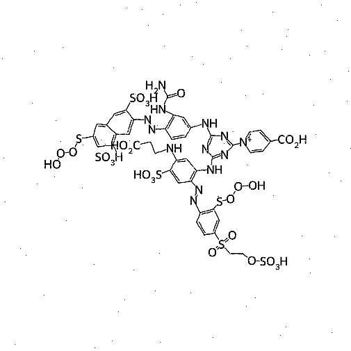 NC(=O)Nc1cc(Nc2nc(Nc3cc(NCCC(=O)O)c(S(=O)(=O)O)cc3N=Nc3ccc(S(=O)(=O)CCOS(=O)(=O)O)cc3SOOO)nc(-[n+]3ccc(C(=O)O)cc3)n2)ccc1N=Nc1cc2c(S(=O)(=O)O)cc(SOOO)cc2cc1S(=O)(=O)O